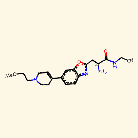 COCCN1CC=C(c2ccc3nc(C[C@H](N)C(=O)NCC#N)oc3c2)CC1